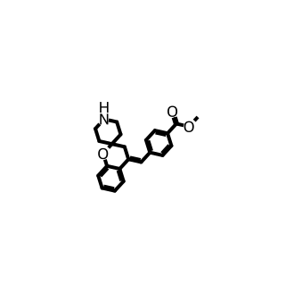 COC(=O)c1ccc(C=C2CC3(CCNCC3)Oc3ccccc32)cc1